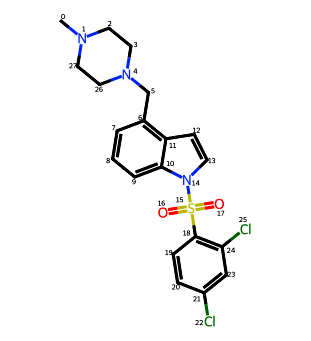 CN1CCN(Cc2cccc3c2ccn3S(=O)(=O)c2ccc(Cl)cc2Cl)CC1